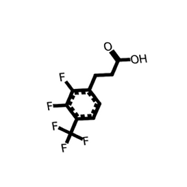 O=C(O)CCc1ccc(C(F)(F)F)c(F)c1F